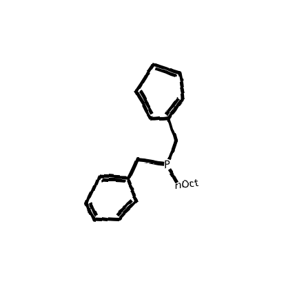 CCCCCCCCP(Cc1ccccc1)Cc1ccccc1